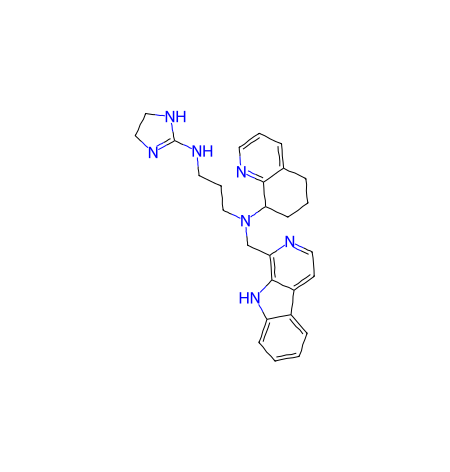 c1cnc2c(c1)CCCC2N(CCCNC1=NCCN1)Cc1nccc2c1[nH]c1ccccc12